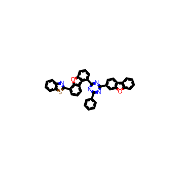 c1ccc(-c2nc(-c3ccc4c(c3)oc3ccccc34)nc(-c3cccc4oc5c(-c6nc7ccccc7s6)cccc5c34)n2)cc1